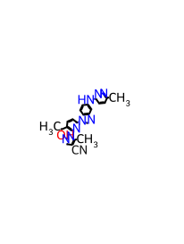 Cc1ccc(Nc2ccc3c(c2)ncn3-c2ccc(C(C)O)c(-n3ncc(C#N)c3C)n2)nn1